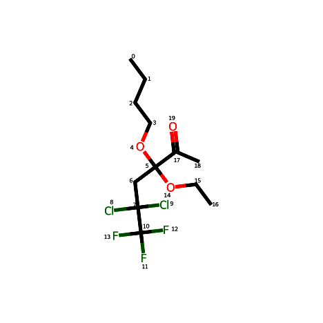 CCCCOC(CC(Cl)(Cl)C(F)(F)F)(OCC)C(C)=O